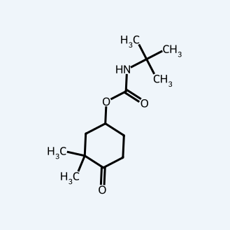 CC(C)(C)NC(=O)OC1CCC(=O)C(C)(C)C1